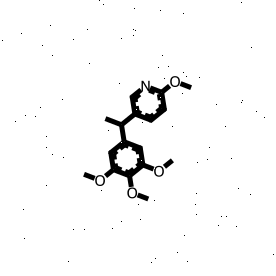 COc1ccc(C(C)c2cc(OC)c(OC)c(OC)c2)cn1